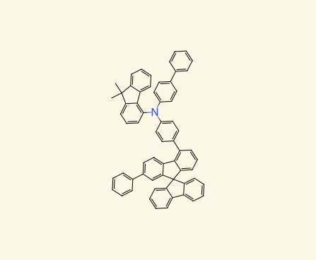 CC1(C)c2ccccc2-c2c(N(c3ccc(-c4ccccc4)cc3)c3ccc(-c4cccc5c4-c4ccc(-c6ccccc6)cc4C54c5ccccc5-c5ccccc54)cc3)cccc21